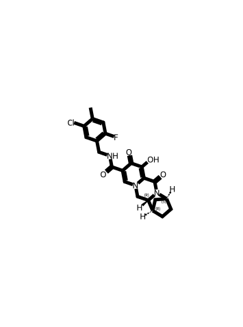 Cc1cc(F)c(CNC(=O)c2cn3c(c(O)c2=O)C(=O)N2[C@H]4CC[C@H](C4)[C@@H]2C3)cc1Cl